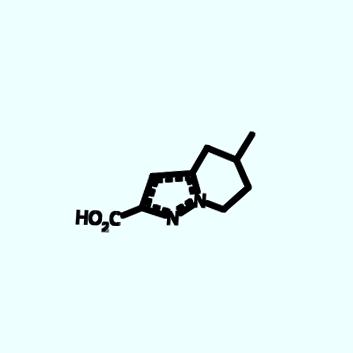 CC1CCn2nc(C(=O)O)cc2C1